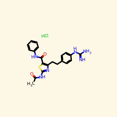 CC(=O)Nc1nc(CCc2ccc(NC(=N)N)cc2)c(C(=O)Nc2ccccc2)s1.Cl